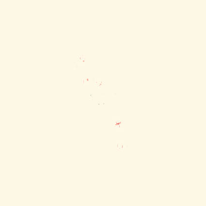 O=C(CC1CO1)Oc1cccc2c(COOCC3CO3)cccc12